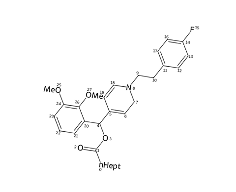 CCCCCCCC(=O)OC(C1=CCN(CCc2ccc(F)cc2)C=C1)c1cccc(OC)c1OC